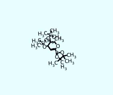 C[C@@H]1OC(B2OC(C)(C)C(C)(C)O2)=CC(O[Si](C)(C)C)C1O[Si](C)(C)C